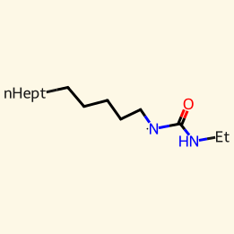 CCCCCCCCCCCC[N]C(=O)NCC